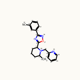 CC1CCCC(c2nc(-c3cccc(C#N)c3)no2)N1Cc1ccccn1